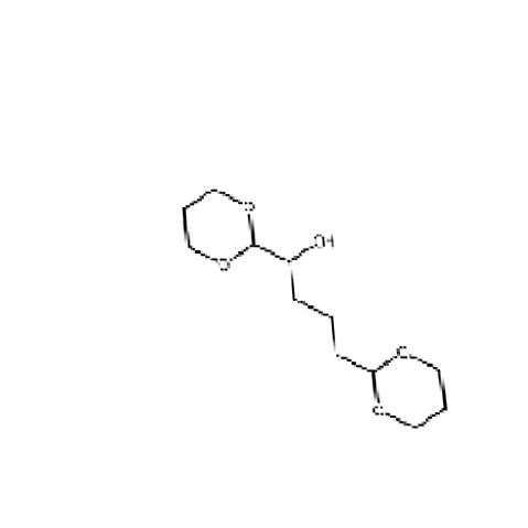 OC(CCCC1OCCCO1)C1OCCCO1